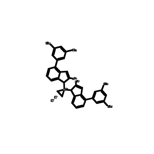 CCCC1=Cc2c(-c3cc(C(C)(C)C)cc(C(C)(C)C)c3)cccc2[CH]1[Ti+2]1([CH]2C(CCC)=Cc3c(-c4cc(C(C)(C)C)cc(C(C)(C)C)c4)cccc32)[CH2][CH2]1.[Cl-].[Cl-]